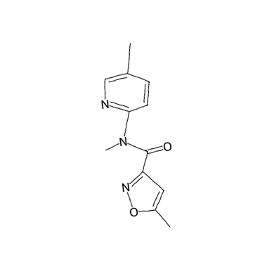 Cc1ccc(N(C)C(=O)c2cc(C)on2)nc1